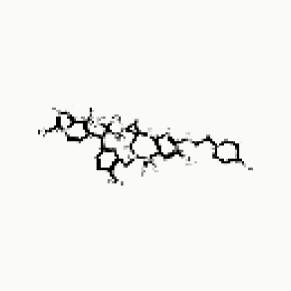 Cc1ccc(C(c2ccn3c(C(F)(F)F)nnc3c2C)C(C)(C)C(=O)O)cc1CN1CC2(CC2)Oc2nc(OCCN3CCC(F)CC3)c(C)cc2S1(=O)=O